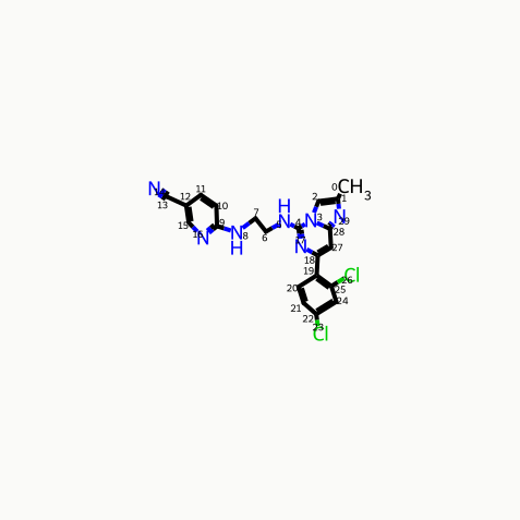 Cc1cn2c(NCCNc3ccc(C#N)cn3)nc(-c3ccc(Cl)cc3Cl)cc2n1